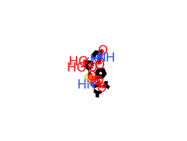 CC(C)C[C@H](NP(=S)(OC[C@H]1O[C@@H](n2ccc(=O)[nH]c2=O)[C@](C)(O)[C@@H]1O)Oc1ccccc1)C(=O)OC(C)C